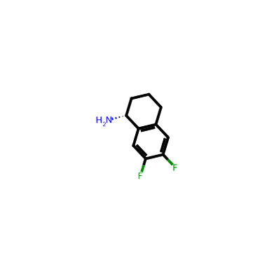 N[C@@H]1CCCc2cc(F)c(F)cc21